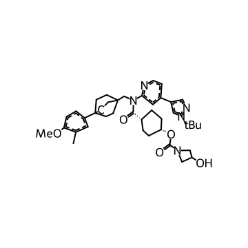 COc1ccc(C23CCC(CN(c4cc(-c5cnn(C(C)(C)C)c5)ccn4)C(=O)[C@H]4CC[C@@H](OC(=O)N5CC(O)C5)CC4)(CC2)CC3)cc1C